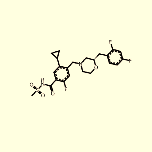 CS(=O)(=O)NC(=O)c1cc(C2CC2)c(CN2CCO[C@H](Cc3ccc(F)cc3F)C2)cc1F